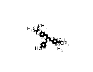 CCOC(CC)Oc1ccc(C=C(C=Cc2ccc(O)cc2)C=Cc2ccc(C(C)(C)C)cc2)cc1